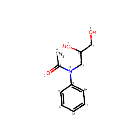 CC(=O)N(CC(O)CO)c1ccccc1